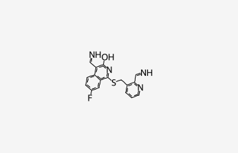 N=Cc1ncccc1CSc1nc(O)c(C=N)c2ccc(F)cc12